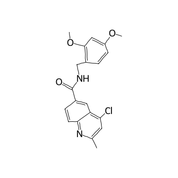 COc1ccc(CNC(=O)c2ccc3nc(C)cc(Cl)c3c2)c(OC)c1